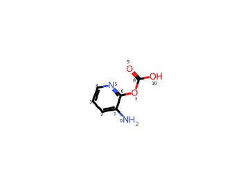 Nc1cccnc1OC(=O)O